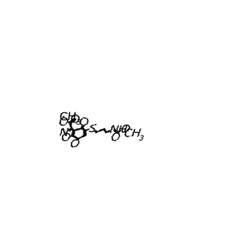 COC(=O)NCCCSC1=CC(=O)c2onc(C(=O)OC)c2C1=O